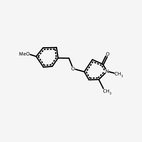 COc1ccc(COc2cc(C)n(C)c(=O)c2)cc1